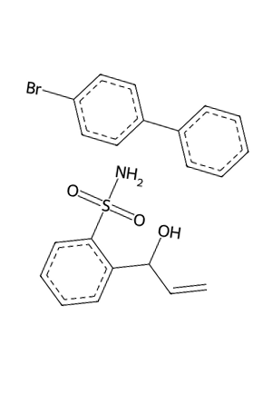 Brc1ccc(-c2ccccc2)cc1.C=CC(O)c1ccccc1S(N)(=O)=O